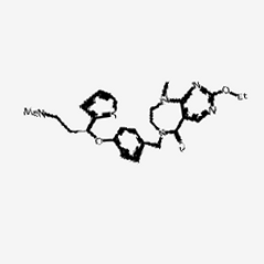 CCOc1ncc2c(n1)N(C)CCN(Cc1ccc(O[C@@H](CCNC)c3cccs3)cc1)C2=O